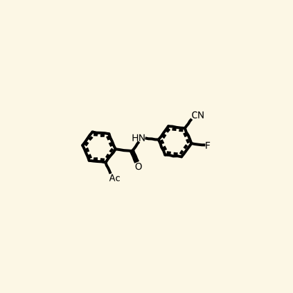 CC(=O)c1ccccc1C(=O)Nc1ccc(F)c(C#N)c1